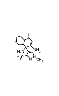 Cc1nn(C)cc1C1(N)C(N)=CNc2ccccc21